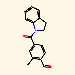 Cc1cc(C(=O)N2CCc3ccccc32)ccc1C=O